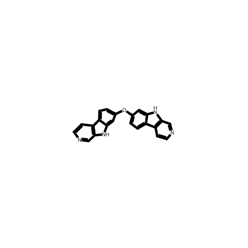 c1cc2c(cn1)[nH]c1cc(Oc3ccc4c(c3)[nH]c3cnccc34)ccc12